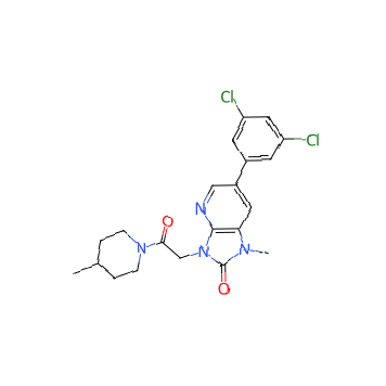 CC1CCN(C(=O)Cn2c(=O)n(C)c3cc(-c4cc(Cl)cc(Cl)c4)cnc32)CC1